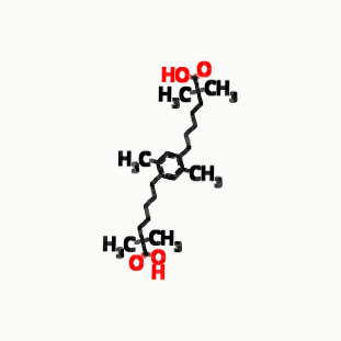 Cc1cc(CCCCCC(C)(C)C(=O)O)c(C)cc1CCCCCC(C)(C)C(=O)O